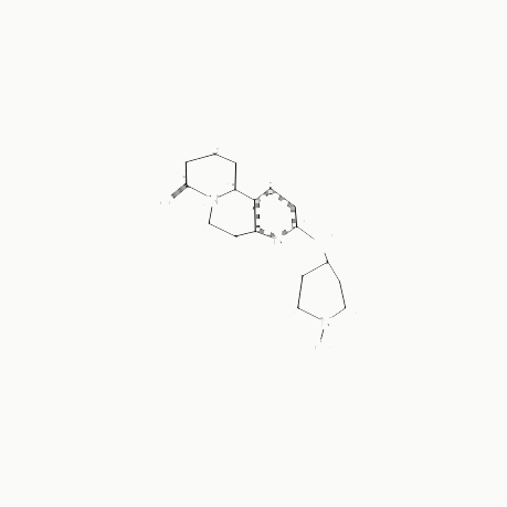 CN1CCC(Oc2ccc3c(n2)CCN2C(=O)CCCC32)CC1